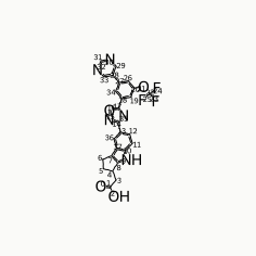 O=C(O)CC1CCc2c1[nH]c1ccc(-c3noc(-c4cc(OC(F)(F)F)cc(-c5cncnc5)c4)n3)cc21